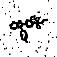 CCCS(=O)(=O)c1ccc(-c2nc3ncccn3c2-c2ccc(C)cc2)cc1Cl